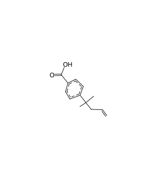 C=CCC(C)(C)c1ccc(C(=O)O)cc1